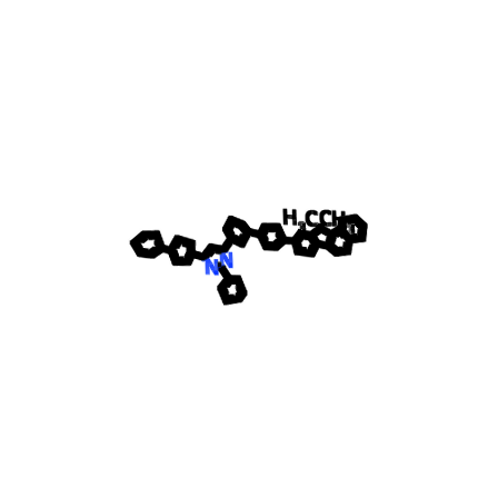 CC1(C)c2cc(-c3ccc(-c4cccc(-c5cc(-c6ccc(-c7ccccc7)cc6)nc(-c6ccccc6)n5)c4)cc3)ccc2-c2ccc3ccccc3c21